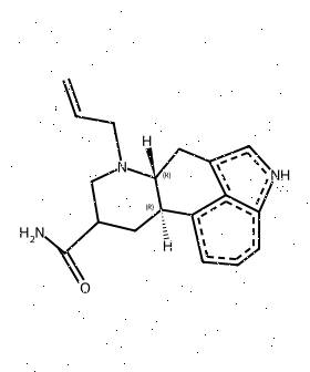 C=CCN1CC(C(N)=O)C[C@@H]2c3cccc4[nH]cc(c34)C[C@H]21